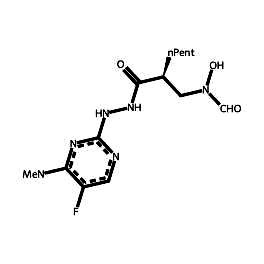 CCCCC[C@@H](CN(O)C=O)C(=O)NNc1ncc(F)c(NC)n1